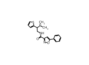 CN(C)C(CNC(=O)c1cc(-c2ccccc2)on1)c1cccs1